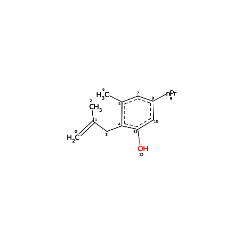 C=C(C)Cc1c(C)cc(CCC)cc1O